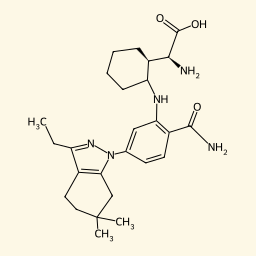 CCc1nn(-c2ccc(C(N)=O)c(NC3CCCC[C@H]3[C@H](N)C(=O)O)c2)c2c1CCC(C)(C)C2